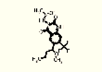 CCCC(OC)c1cc2c(=O)n(N[S+](C)[O-])c(=O)[nH]c2cc1C(F)(F)F